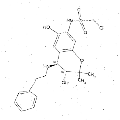 CC1(C)Oc2cc(NS(=O)(=O)CCl)c(O)cc2[C@H](NCCc2ccccc2)[C@H]1O